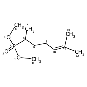 COP(=O)(OC)C(C)CCC=C(C)C